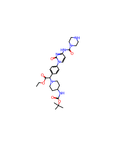 CCOC(=O)C(c1ccc(-n2ccc(NC(=O)N3CCNCC3)nc2=O)cc1)N1CCC(NC(=O)OC(C)(C)C)CC1